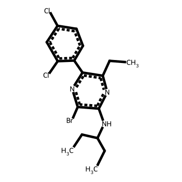 CCc1nc(NC(CC)CC)c(Br)nc1-c1ccc(Cl)cc1Cl